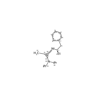 CC[C@H](Cc1ccccc1)/N=c1/c(C)c1N(C(C)C)C(C)C